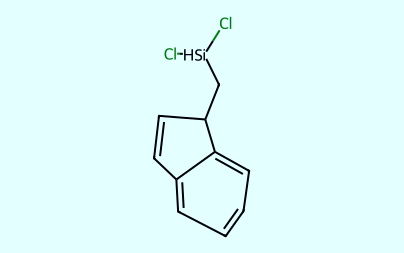 Cl[SiH](Cl)CC1C=Cc2ccccc21